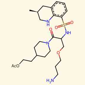 CC(=O)OCCC1CCN(C(=O)C(COCCCN)NS(=O)(=O)c2cccc3c2NC[C@@H](C)C3)CC1